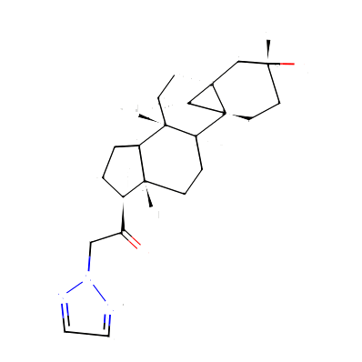 C[C@@H]1[C@]23CC[C@H]4[C@@H]5CC[C@H](C(=O)Cn6nccn6)[C@@]5(C)CC[C@@H]4[C@]12CC[C@@](C)(O)C3